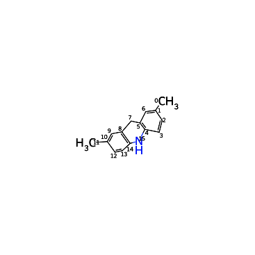 Cc1ccc2c(c1)Cc1cc(C)ccc1N2